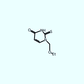 CCOCn1ccc(=O)[nH]c1=S